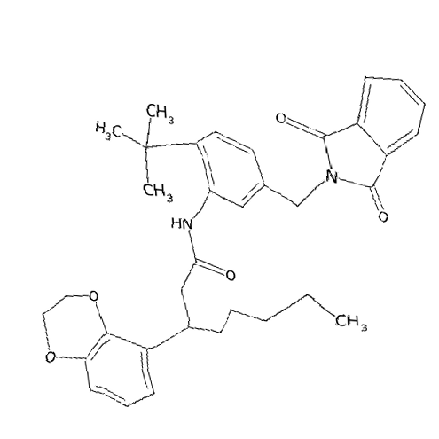 CCCCCC(CC(=O)Nc1cc(CN2C(=O)c3ccccc3C2=O)ccc1C(C)(C)C)c1cccc2c1OCCO2